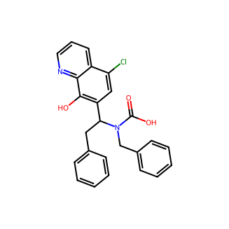 O=C(O)N(Cc1ccccc1)C(Cc1ccccc1)c1cc(Cl)c2cccnc2c1O